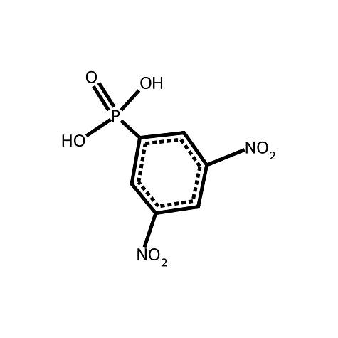 O=[N+]([O-])c1cc([N+](=O)[O-])cc(P(=O)(O)O)c1